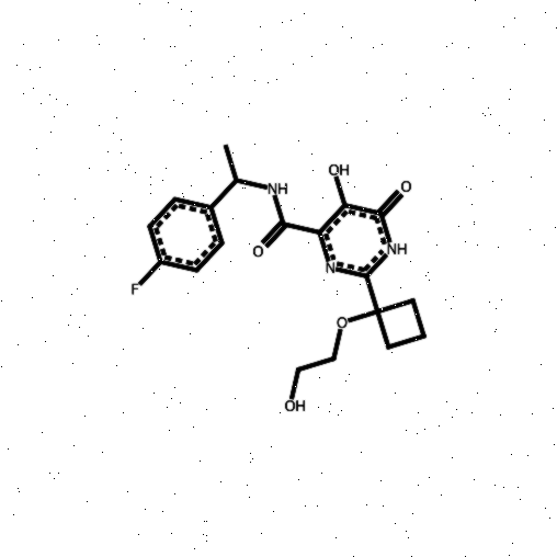 CC(NC(=O)c1nc(C2(OCCO)CCC2)[nH]c(=O)c1O)c1ccc(F)cc1